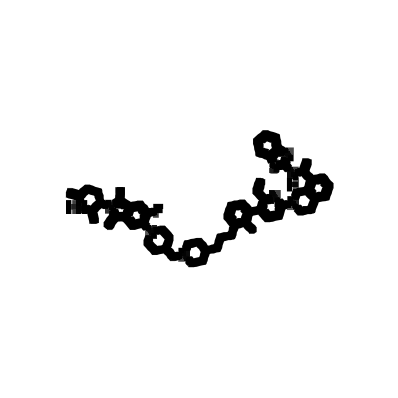 C=Cc1nc(N2CCc3cccc(C(=C)Nc4nc5ccccc5s4)c3C2)ccc1-c1cccc(CCCC2CCN(CC3CCN(c4cc5c(=C)n(C6CCC(=C)NC6=C)c(=C)c5cc4F)CC3)CC2)c1C